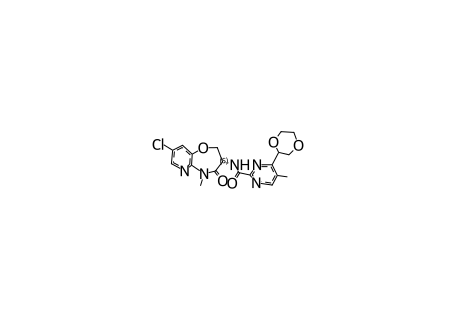 Cc1cnc(C(=O)N[C@H]2COc3cc(Cl)cnc3N(C)C2=O)nc1C1COCCO1